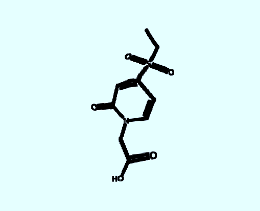 CCS(=O)(=O)c1ccn(CC(=O)O)c(=O)c1